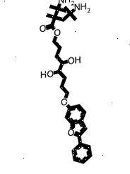 CC(C)(N)CC(C)(C(=O)OCCCC(O)C(O)CCCOc1ccc2cc(-c3ccccc3)oc2c1)C(C)(C)N